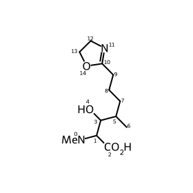 CNC(C(=O)O)C(O)C(C)CCCC1=NCCO1